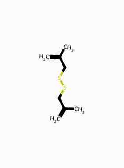 C=C(C)CSSCC(=C)C